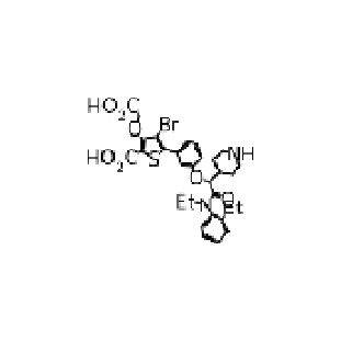 CCc1ccccc1N(CC)C(=O)C(Oc1cccc(-c2sc(C(=O)O)c(OCC(=O)O)c2Br)c1)C1CCNCC1